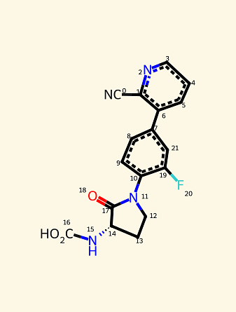 N#Cc1ncccc1-c1ccc(N2CC[C@H](NC(=O)O)C2=O)c(F)c1